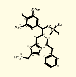 COc1cc(C(O[Si](C)(C)C(C)(C)C)[C@H](CCCc2ccccc2)Cc2ncc(CC(=O)O)o2)cc(OC)c1C